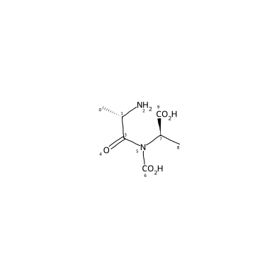 C[C@H](N)C(=O)N(C(=O)O)[C@H](C)C(=O)O